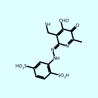 CC1=N/C(=N\Nc2cc(S(=O)(=O)O)ccc2S(=O)(=O)O)C(CS)=C(C=O)C1=O